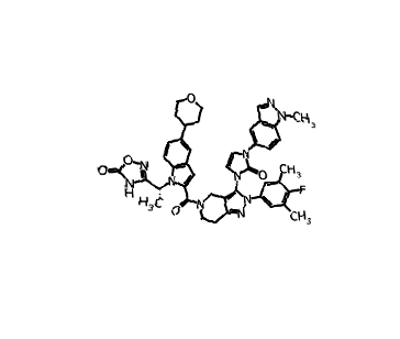 Cc1cc(-n2nc3c(c2-n2ccn(-c4ccc5c(cnn5C)c4)c2=O)CN(C(=O)c2cc4cc(C5CCOCC5)ccc4n2[C@H](C)c2noc(=O)[nH]2)CC3)cc(C)c1F